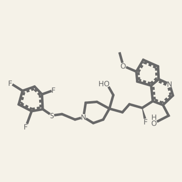 COc1ccc2ncc(CO)c([C@@H](F)CCC3(CO)CCN(CCSc4c(F)cc(F)cc4F)CC3)c2c1